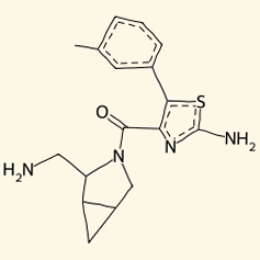 Cc1cccc(-c2sc(N)nc2C(=O)N2CC3CC3C2CN)c1